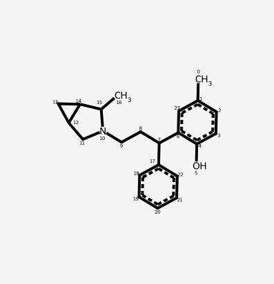 Cc1ccc(O)c(C(CCN2CC3CC3C2C)c2ccccc2)c1